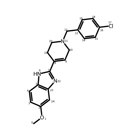 COc1ccc2[nH]c(C3=CCN(Cc4ccc(Cl)cc4)CC3)nc2c1